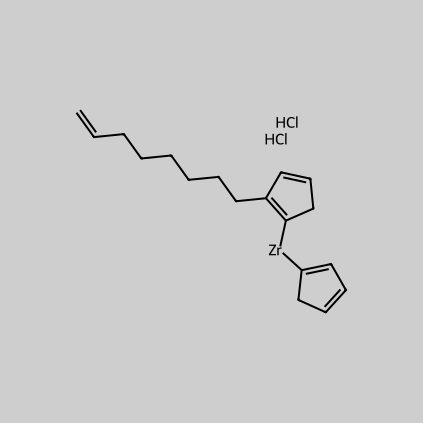 C=CCCCCCCC1=[C]([Zr][C]2=CC=CC2)CC=C1.Cl.Cl